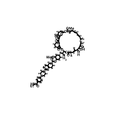 CCNC(=O)c1cnc(N2CCN(c3ncc4c(n3)CCN(C(=O)O[C@@H]3CC[C@@H](C[C@@H](N)[C@@H]5CC(=O)[C@H](C)/C=C(\C)[C@@H](O)[C@@H](O)C(=O)[C@H](C)C[C@H](C)/C=C/C=C/C=C(\C)[C@@H](OC)C[C@@H]6CC[C@@H](C)[C@@](O)(O6)C(=O)C(=O)N6CCCC[C@H]6C(=O)O5)C[C@H]3OC)C4)CC2)nc1